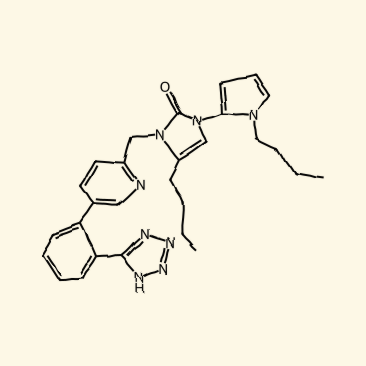 CCCCc1cn(-c2cccn2CCCC)c(=O)n1Cc1ccc(-c2ccccc2-c2nnn[nH]2)cn1